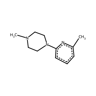 Cc1cccc(N2CCN(C)CC2)n1